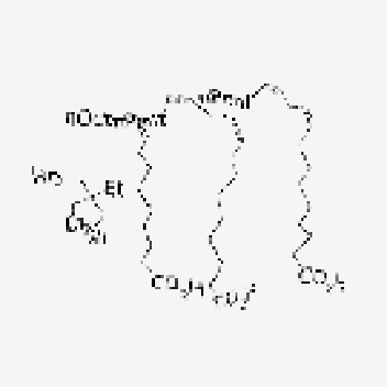 CCC(CO)(CO)CO.CCCCC/C=C\C/C=C\CCCCCCCC(=O)O.CCCCC/C=C\C/C=C\CCCCCCCC(=O)O.CCCCCCCC/C=C\CCCCCCCC(=O)O